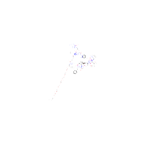 CC[C@@H](C)[C@H]([C@H](CC(=O)N1CCC[C@@H]1[C@@H](OC)[C@H](C)C(=O)N[C@@H](C)[C@H](O)c1ccccc1)OC)N(C)C(=O)C(NC(=O)[C@@H](C(C)C)N(C)C(=O)OCc1ccc(NC(=O)[C@H](CCCNC(N)=O)NC(=O)[C@@H](NC(=O)CCCC(=O)NCCOCCOCCOCCOCCOCCOCCOCCOCCC(C)=O)C(C)C)cc1)C(C)C